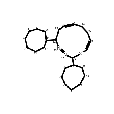 C1=CCC(C2CCCCCCC2)N=NC(C2CCCCCCC2)CC=CCC1